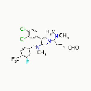 CN(C)C(CCCC=O)N1C[C@H](c2ccc(Cl)c(Cl)c2)[C@H](N(C)Cc2ccc(C(F)(F)F)c(F)c2)C1